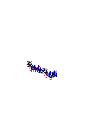 O=C(Cn1cc2cc(NC(=O)c3cccc(-n4cncn4)n3)ccc2n1)NCCNC(=O)c1ccccc1